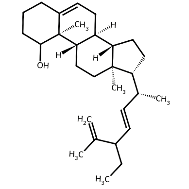 C=C(C)C(/C=C/[C@@H](C)[C@H]1CC[C@H]2[C@@H]3CC=C4CCCC(O)[C@]4(C)[C@H]3CC[C@]12C)CC